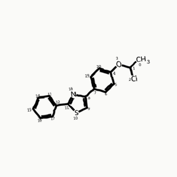 CC(Cl)Oc1ccc(-c2csc(-c3ccccc3)n2)cc1